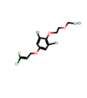 CCc1cc(OCC=C(Cl)Cl)cc(CC)c1OCCOCC=O